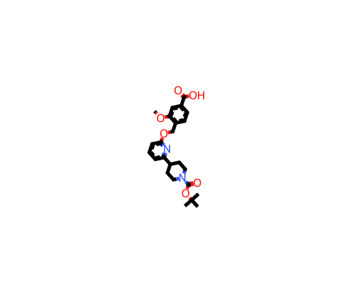 COc1cc(C(=O)O)ccc1COc1cccc(C2CCN(C(=O)OC(C)(C)C)CC2)n1